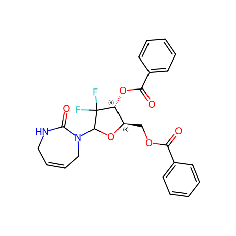 O=C(OC[C@H]1OC(N2CC=CCNC2=O)C(F)(F)[C@@H]1OC(=O)c1ccccc1)c1ccccc1